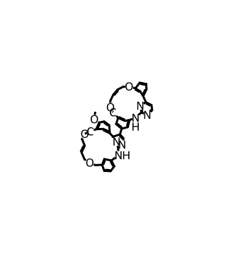 COc1ccc2cc1COC/C=C/COCc1cccc(c1)Nc1ncc(-c3cc4cc(c3)Nc3nccc(n3)-c3cccc(c3)OC/C=C\COC4)c-2n1